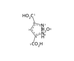 O.O=C(O)c1cc(C(=O)O)[nH]n1